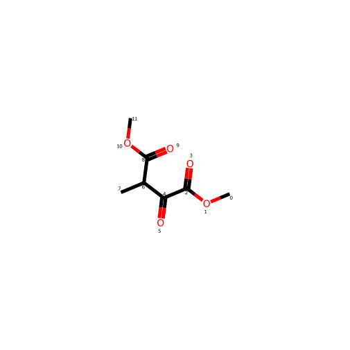 COC(=O)C(=O)C(C)C(=O)OC